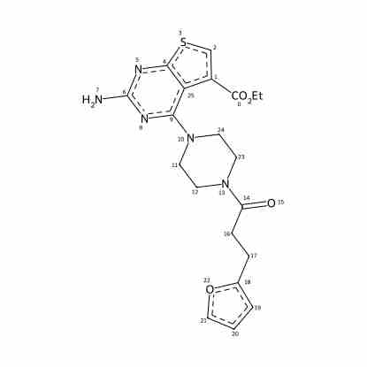 CCOC(=O)c1csc2nc(N)nc(N3CCN(C(=O)CCc4ccco4)CC3)c12